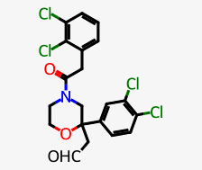 O=CCC1(c2ccc(Cl)c(Cl)c2)CN(C(=O)Cc2cccc(Cl)c2Cl)CCO1